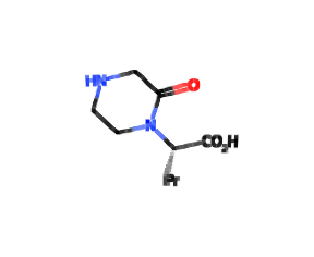 CC(C)[C@@H](C(=O)O)N1CCNCC1=O